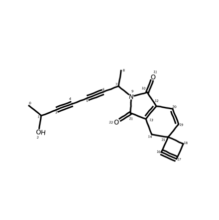 CC(O)C#CC#CC(C)N1C(=O)C2=C(CC3(C#CC3)C=C2)C1=O